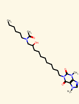 CCCCCCN(CC(O)CCCCCCCCCn1c(=O)c2c(ncn2C)n(C)c1=O)C(C)=O